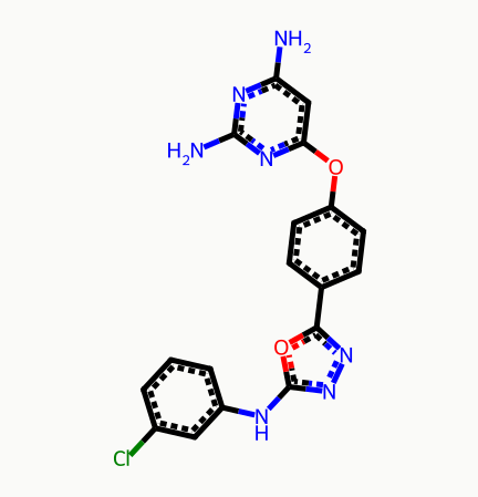 Nc1cc(Oc2ccc(-c3nnc(Nc4cccc(Cl)c4)o3)cc2)nc(N)n1